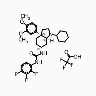 COc1ccc([C@@]23CC[C@@H](NC(=O)Nc4ccc(F)c(F)c4F)C[C@@H]2N(C2CCCCC2)CC3)cc1OC.O=C(O)C(F)(F)F